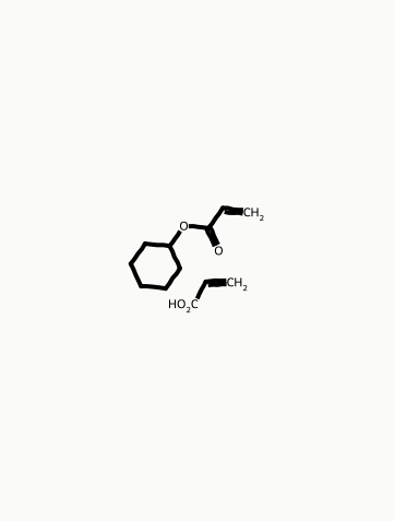 C=CC(=O)O.C=CC(=O)OC1CCCCC1